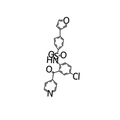 O=C(c1ccncc1)c1cc(Cl)ccc1NS(=O)(=O)c1ccc(-c2ccoc2)cc1